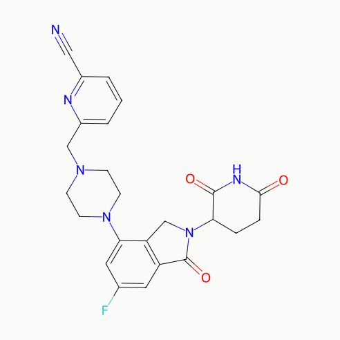 N#Cc1cccc(CN2CCN(c3cc(F)cc4c3CN(C3CCC(=O)NC3=O)C4=O)CC2)n1